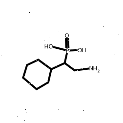 NCC(C1CCCCC1)P(=O)(O)O